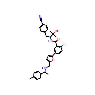 Cc1ccc(C(C)NCc2ccc(-c3ccc(Cl)c(C(=O)NC(Cc4ccc(C#N)cc4)C(C)(C)O)c3)o2)cc1